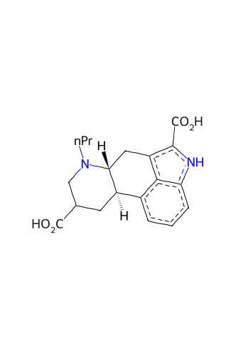 CCCN1CC(C(=O)O)C[C@@H]2c3cccc4[nH]c(C(=O)O)c(c34)C[C@H]21